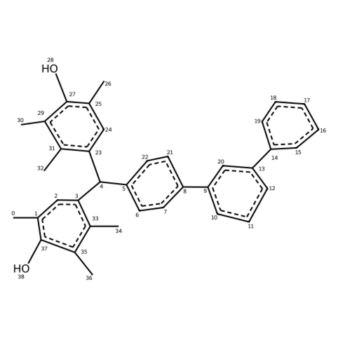 Cc1cc(C(c2ccc(-c3cccc(-c4ccccc4)c3)cc2)c2cc(C)c(O)c(C)c2C)c(C)c(C)c1O